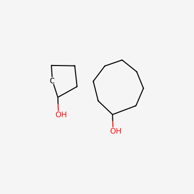 OC1CCCC1.OC1CCCCCCC1